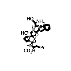 CC(C)C[C@H](NC(=O)[C@@H]1CCCN1C(=O)[C@H](CO)NC(=O)[C@H](Cc1ccccc1)NC(=O)[C@@H](N)CO)C(=O)O